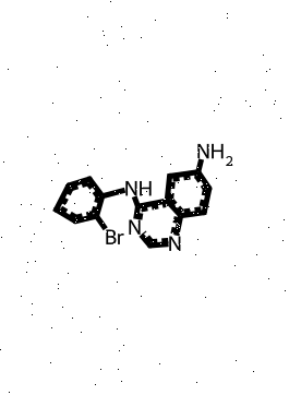 Nc1ccc2ncnc(Nc3ccccc3Br)c2c1